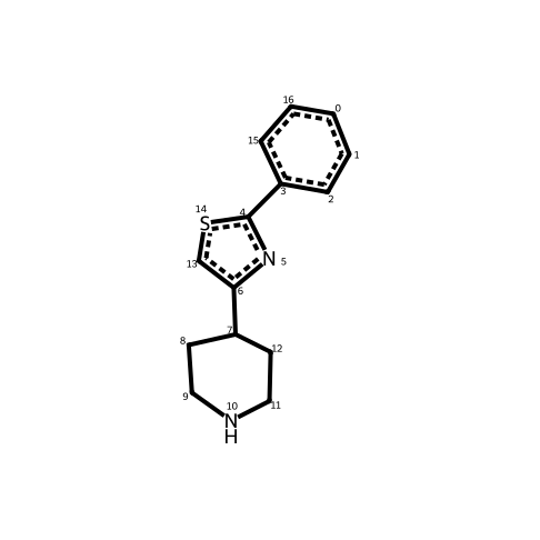 c1ccc(-c2nc(C3CCNCC3)cs2)cc1